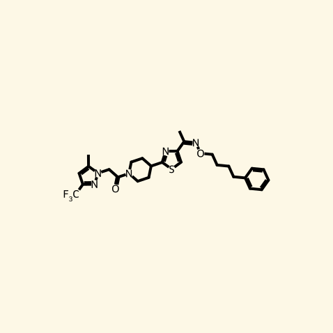 CC(=NOCCCCc1ccccc1)c1csc(C2CCN(C(=O)Cn3nc(C(F)(F)F)cc3C)CC2)n1